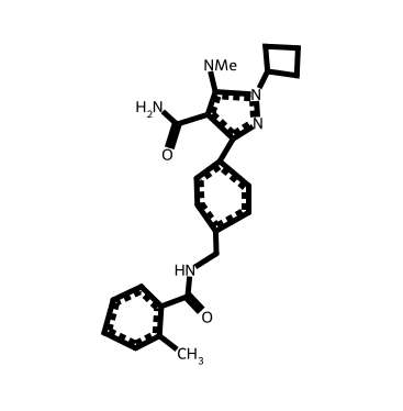 CNc1c(C(N)=O)c(-c2ccc(CNC(=O)c3ccccc3C)cc2)nn1C1CCC1